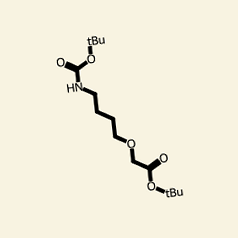 CC(C)(C)OC(=O)COCCCCNC(=O)OC(C)(C)C